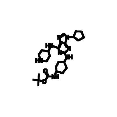 CC(C)(C)OC(=O)NC1CCC(Nc2nc(NC3CCNCC3)c3ncn(C4CCCC4)c3n2)CC1